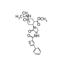 COC(=O)C1CC(NC(C)(C)C)CCC1N1CC[C@H](NC(=O)c2cc(-c3ccccc3)cs2)C1=O